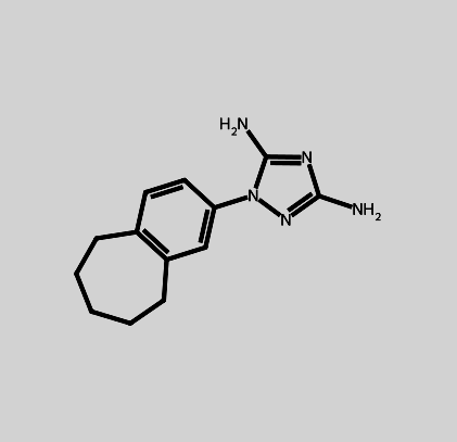 Nc1nc(N)n(-c2ccc3c(c2)CCCCC3)n1